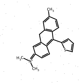 Cc1ccc2c(c1)CC1=CC(=[N+](C)C)C=CC1=C2c1cccs1